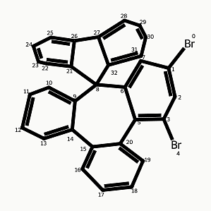 Brc1cc(Br)c2c(c1)C1(c3ccccc3-c3ccccc3-2)c2ccccc2-c2ccccc21